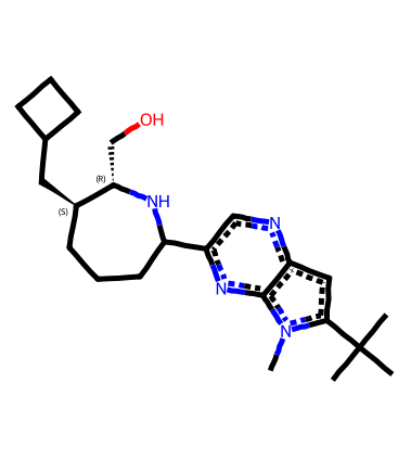 Cn1c(C(C)(C)C)cc2ncc(C3CCC[C@@H](CC4CCC4)[C@H](CO)N3)nc21